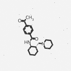 CC(=O)c1ccc(C(=O)N[C@@H]2CCCC[C@H]2CN2CCCCC2)cc1